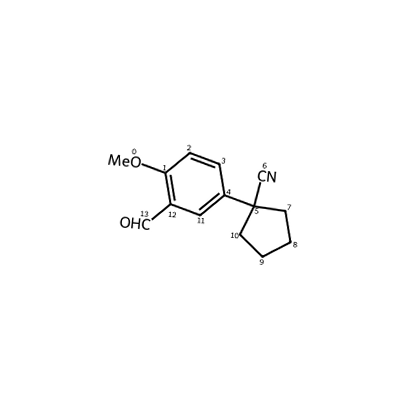 COc1ccc(C2(C#N)CCCC2)cc1C=O